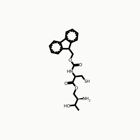 CC(O)[C@H](N)COC(=O)C(CS)NC(=O)OCC1c2ccccc2-c2ccccc21